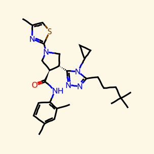 Cc1ccc(NC(=O)[C@H]2CN(c3nc(C)cs3)C[C@@H]2c2nnc(CCCC(C)(C)C)n2C2CC2)c(C)c1